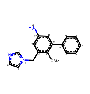 COc1c(Cn2ccnc2)cc(N)cc1-c1ccccc1